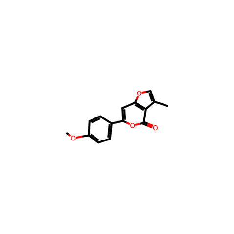 COc1ccc(-c2cc3occ(C)c3c(=O)o2)cc1